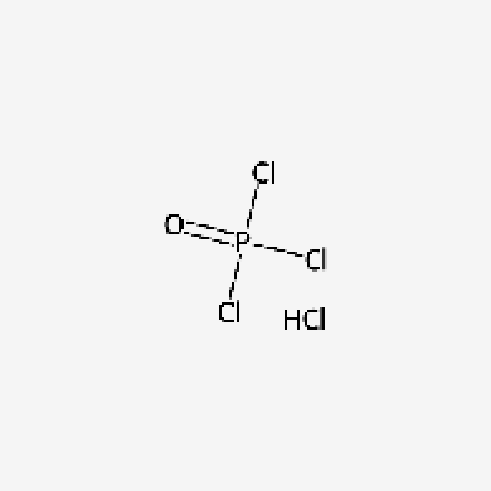 Cl.O=P(Cl)(Cl)Cl